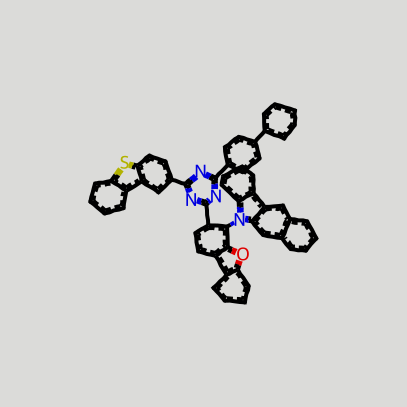 c1ccc(-c2ccc(-c3nc(-c4ccc5sc6ccccc6c5c4)nc(-c4ccc5c(oc6ccccc65)c4-n4c5ccccc5c5cc6ccccc6cc54)n3)cc2)cc1